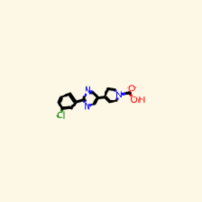 O=C(O)N1CC=C(c2cnc(-c3cccc(Cl)c3)nc2)CC1